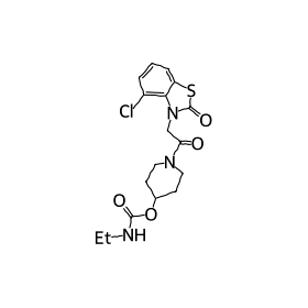 CCNC(=O)OC1CCN(C(=O)Cn2c(=O)sc3cccc(Cl)c32)CC1